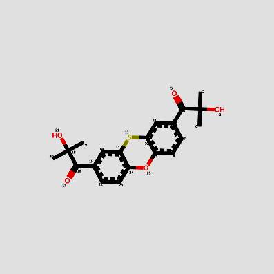 CC(C)(O)C(=O)c1ccc2c(c1)Sc1cc(C(=O)C(C)(C)O)ccc1O2